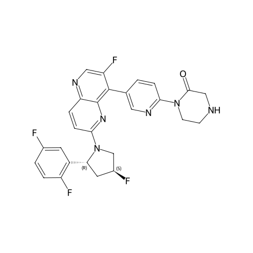 O=C1CNCCN1c1ccc(-c2c(F)cnc3ccc(N4C[C@@H](F)C[C@@H]4c4cc(F)ccc4F)nc23)cn1